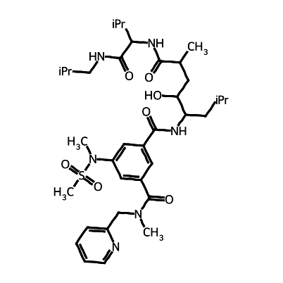 CC(C)CNC(=O)C(NC(=O)C(C)CC(O)C(CC(C)C)NC(=O)c1cc(C(=O)N(C)Cc2ccccn2)cc(N(C)S(C)(=O)=O)c1)C(C)C